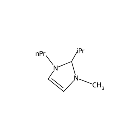 CCCN1C=CN(C)C1C(C)C